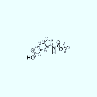 CC(C)(C)OC(=O)NC1CCc2ccc(CC(=O)O)cc21